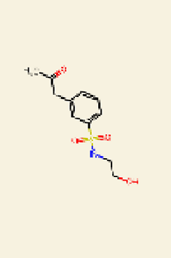 CC(=O)Cc1cccc(S(=O)(=O)NCCO)c1